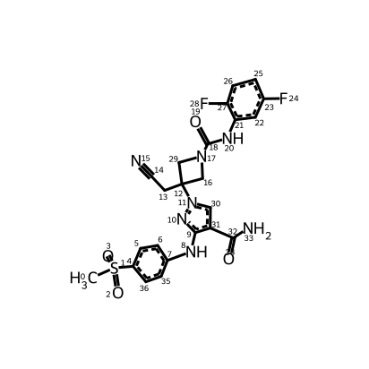 CS(=O)(=O)c1ccc(Nc2nn(C3(CC#N)CN(C(=O)Nc4cc(F)ccc4F)C3)cc2C(N)=O)cc1